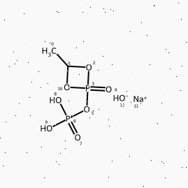 CC1OP(=O)(OP(=O)(O)O)O1.[Na+].[OH-]